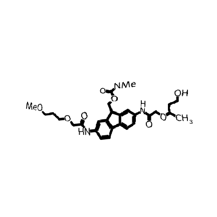 CNC(=O)OCC1c2cc(NC(=O)COCCCOC)ccc2-c2ccc(NC(=O)COC(C)CCO)cc21